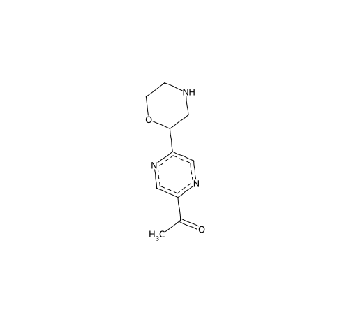 CC(=O)c1cnc(C2CNCCO2)cn1